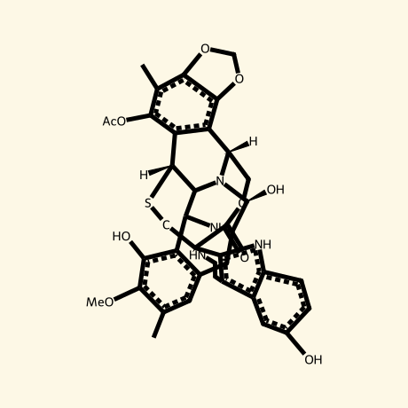 COc1c(C)cc2c(c1O)C1NC(C2)[C@H](O)N2C1[C@@H]1SC[C@]3(NCCc4c3[nH]c3ccc(O)cc43)C(=O)OC[C@H]2c2c3c(c(C)c(OC(C)=O)c21)OCO3